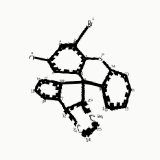 Clc1cc(Br)c2c(c1)C1(c3ccccc3S2)c2ccccc2-c2ccccc21